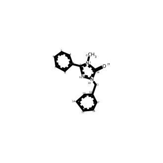 Cn1c(-c2ccccc2)nn(Cc2ccccc2)c1=O